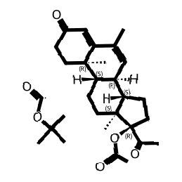 CC(=O)O[C@]1(C(C)=O)CC[C@H]2[C@@H]3C=C(C)C4=CC(=O)CC[C@]4(C)[C@H]3CC[C@@]21C.CC(C)(C)O[C]=O